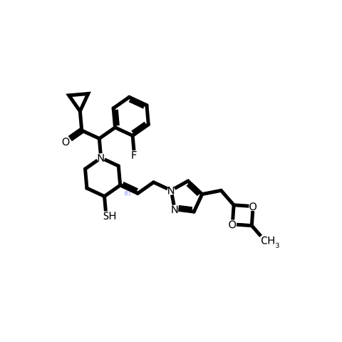 CC1OC(Cc2cnn(C/C=C3\CN(C(C(=O)C4CC4)c4ccccc4F)CCC3S)c2)O1